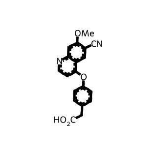 COc1cc2nccc(Oc3ccc(CC(=O)O)cc3)c2cc1C#N